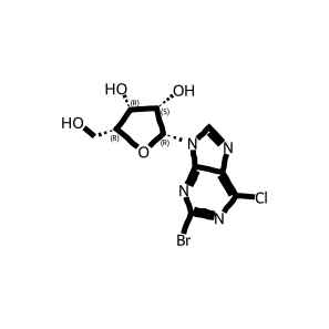 OC[C@H]1O[C@@H](n2cnc3c(Cl)nc(Br)nc32)[C@@H](O)[C@H]1O